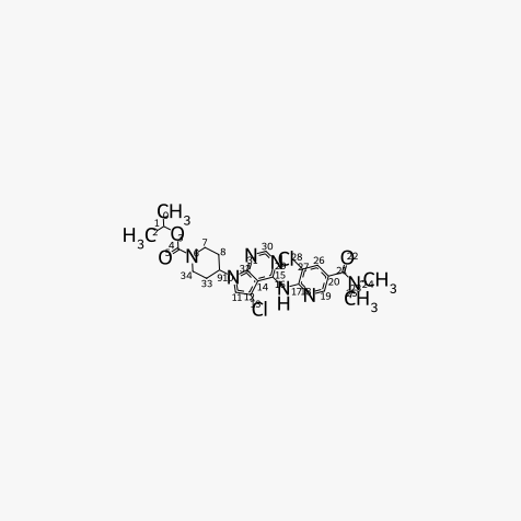 CC(C)OC(=O)N1CCC(n2cc(Cl)c3c(Nc4ncc(C(=O)N(C)C)cc4Cl)ncnc32)CC1